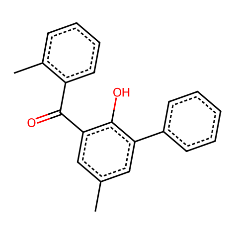 Cc1cc(C(=O)c2ccccc2C)c(O)c(-c2ccccc2)c1